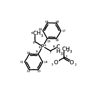 CC(=O)[O-].CC[P+](CC)(c1ccccc1)c1ccccc1